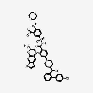 C[C@H]1CN(c2cc(N3CCC(C(O)c4ccccc4-c4ccc(Cl)cc4)CC3)ccc2C(=O)NS(=O)(=O)c2ccc(NC[C@H]3COCCO3)c([N+](=O)[O-])c2)c2cc3cc[nH]c3nc2O1